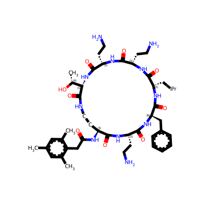 Cc1cc(C)c(CC(=O)N[C@H]2CCNC(=O)[C@H]([C@@H](C)O)NC(=O)[C@H](CCN)NC(=O)[C@H](CCN)NC(=O)[C@H](CC(C)C)NC(=O)[C@@H](Cc3ccccc3)NC(=O)[C@H](CCN)NC2=O)c(C)c1